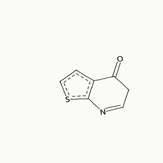 O=C1CC=Nc2sccc21